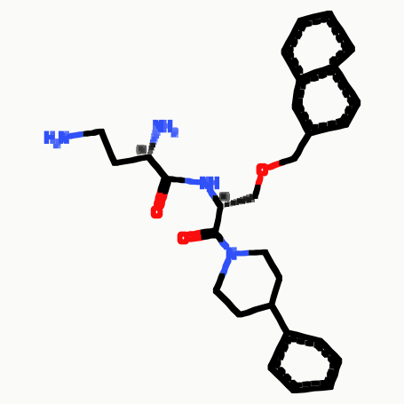 NCC[C@H](N)C(=O)N[C@H](COCc1ccc2ccccc2c1)C(=O)N1CCC(c2ccccc2)CC1